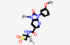 CC(C)Oc1cccc(-n2c(=O)n(C(C)C)c3cc(C(=O)NC4(C)CS(=O)(=O)C4)cnc32)c1